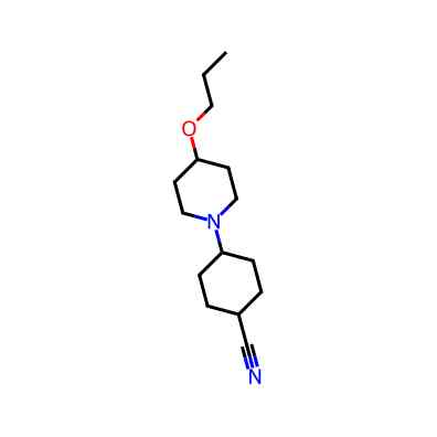 CCCOC1CCN(C2CCC(C#N)CC2)CC1